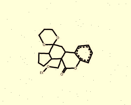 CCOCC12C(=O)Oc3ccccc3C1CC1(OCCCO1)C1CCCC12